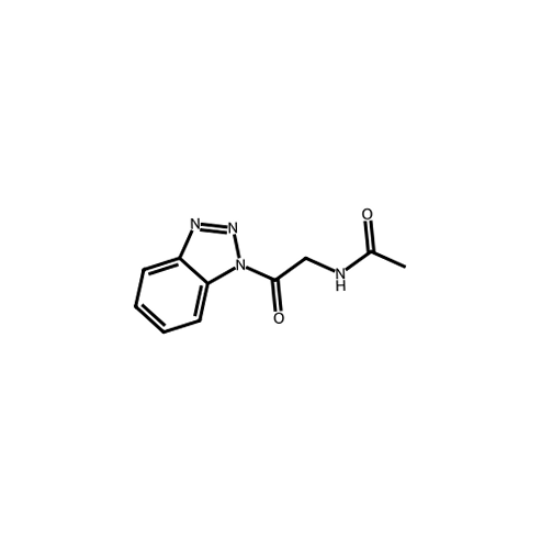 CC(=O)NCC(=O)n1nnc2ccccc21